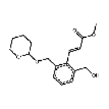 COC(=O)/C=C/c1c(CO)cccc1COC1CCCCO1